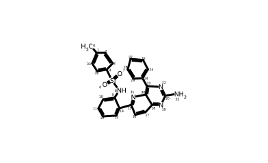 Cc1ccc(S(=O)(=O)Nc2ccccc2-c2ccc3nc(N)nc(-c4ccccc4)c3n2)cc1